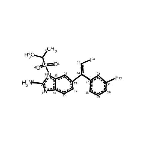 CC(C)S(=O)(=O)n1c(N)nc2ccc(C(=CI)c3cccc(F)c3)cc21